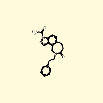 NC(=O)n1ncc2c3c(ccc21)C[CH]C(=O)N(CCc1ccccc1)C3